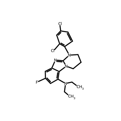 CCN(CC)c1cc(F)cc2nc3n(c12)CCCN3c1ccc(Cl)cc1Cl